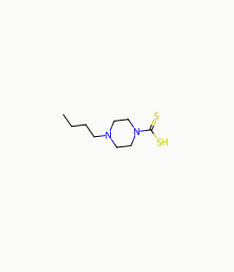 CCCCN1CCN(C(=S)S)CC1